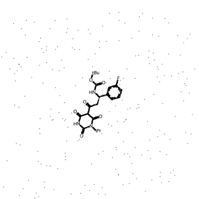 CC(C)N1C(=O)NC(=O)C(C(=O)C[C@@H](NC(=O)OC(C)(C)C)c2cccc(F)c2)C1=O